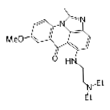 CCN(CC)CCNc1ccc2nc(C)n3c4ccc(OC)cc4c(=O)c1c23